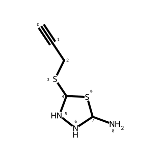 C#CCSC1NNC(N)S1